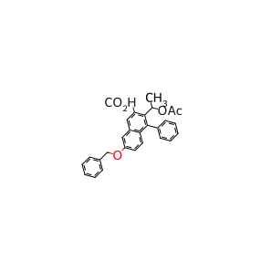 CC(=O)OC(C)c1c(C(=O)O)cc2cc(OCc3ccccc3)ccc2c1-c1ccccc1